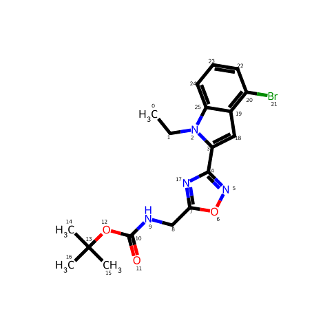 CCn1c(-c2noc(CNC(=O)OC(C)(C)C)n2)cc2c(Br)cccc21